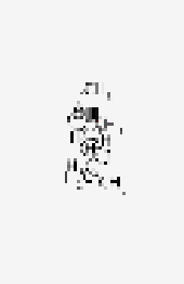 C=C(C)[C@H]1CC[C@H]2[C@@H]3CC[C@@H]4C5C(CC)[C@@]5(O)CC[C@]4(CC)[C@H]3CC[C@]12C